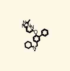 Cc1nnc2ccc(Oc3ccc(CN(C)C4CCCCC4)cc3-c3ccccc3)nn12